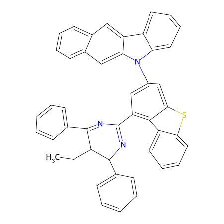 CCC1C(c2ccccc2)=NC(c2cc(-n3c4ccccc4c4cc5ccccc5cc43)cc3sc4ccccc4c23)=NC1c1ccccc1